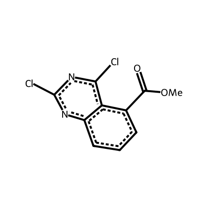 COC(=O)c1cccc2nc(Cl)nc(Cl)c12